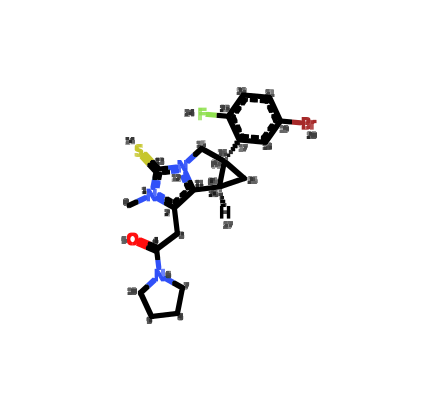 Cn1c(CC(=O)N2CCCC2)c2n(c1=S)C[C@@]1(c3cc(Br)ccc3F)C[C@@H]21